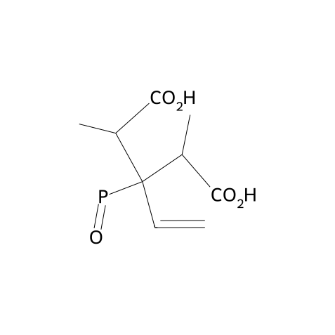 C=CC(P=O)(C(C)C(=O)O)C(C)C(=O)O